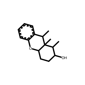 CC1c2ccccc2OC2CCC(O)C(C)C21C